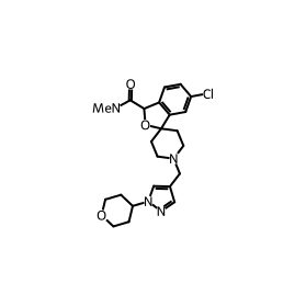 CNC(=O)C1OC2(CCN(Cc3cnn(C4CCOCC4)c3)CC2)c2cc(Cl)ccc21